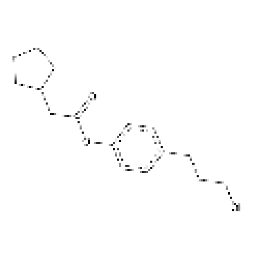 O=C(CC1CCCC1)Oc1ccc(CCCO)cc1